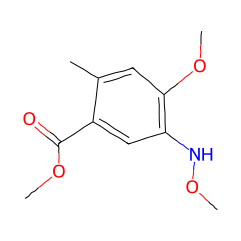 CONc1cc(C(=O)OC)c(C)cc1OC